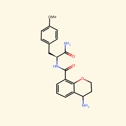 COc1ccc(C[C@H](NC(=O)c2cccc3c2OCCC3N)C(N)=O)cc1